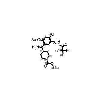 COc1cc(Cl)c(Cl)cc1C(N)C1CCN(C(=O)OC(C)(C)C)CC1.O=C(O)C(F)(F)F